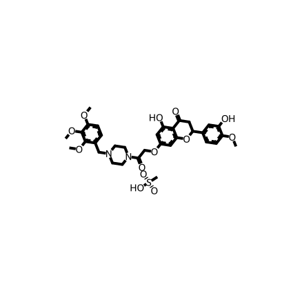 COc1ccc(C2CC(=O)c3c(O)cc(OCC(=O)N4CCN(Cc5ccc(OC)c(OC)c5OC)CC4)cc3O2)cc1O.CS(=O)(=O)O